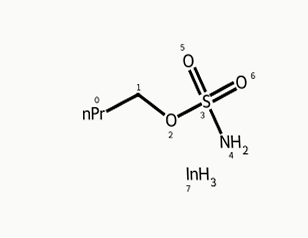 CCCCOS(N)(=O)=O.[InH3]